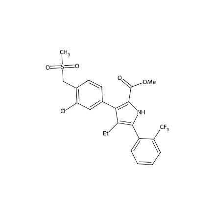 CCc1c(-c2ccccc2C(F)(F)F)[nH]c(C(=O)OC)c1-c1ccc(CS(C)(=O)=O)c(Cl)c1